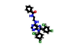 O=C(NCCNc1ncnc2c1nc(-c1ccc(Cl)cc1Cl)n2-c1ccc(Cl)cc1Cl)c1ccccc1